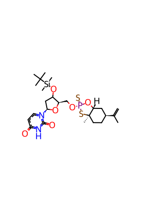 C=C(C)[C@H]1CC[C@@]2(C)S[P@](=S)(OC[C@H]3O[C@@H](n4ccc(=O)[nH]c4=O)CC3O[Si](C)(C)C(C)(C)C)O[C@@H]2C1